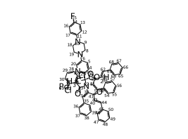 C[C@](C(=O)O)(c1ccc(N2CCN(c3ccc(F)cc3)CC2)cn1)[N+](C(=O)c1c(Cl)cccc1Cl)(C(=Cc1ccccc1)C(=O)C=Cc1ccccc1)C(=Cc1ccccc1)C(=O)C=Cc1ccccc1.[Pd]